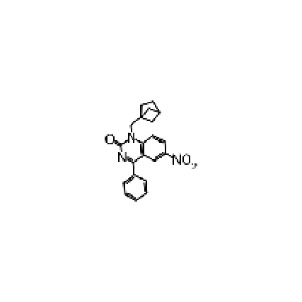 O=c1nc(-c2ccccc2)c2cc([N+](=O)[O-])ccc2n1CC12CCC(C1)C2